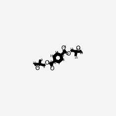 CC1(COC(=O)c2ccc(C(=O)OCC3(C)CO3)cc2)CO1